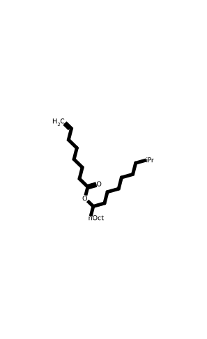 C=CCCCCCC(=O)OC(CCCCCCCC)CCCCCCC(C)C